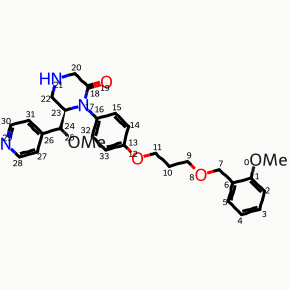 COc1ccccc1COCCCOc1ccc(N2C(=O)CNC[C@@H]2C(OC)c2ccncc2)cc1